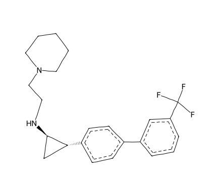 FC(F)(F)c1cccc(-c2ccc([C@@H]3C[C@H]3NCCN3CCCCC3)cc2)c1